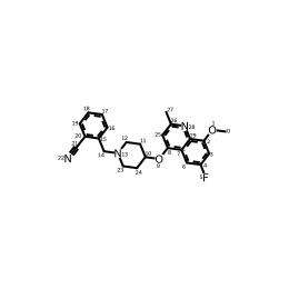 COc1cc(F)cc2c(OC3CCN(Cc4ccccc4C#N)CC3)cc(C)nc12